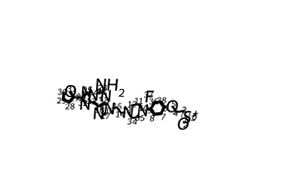 C[S@@+]([O-])CCOc1ccc(N2CCN(CCn3cnc4c3nc(N)n3nc(-c5ccco5)nc43)CC2)c(F)c1